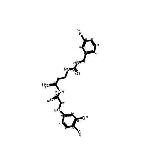 C=C(CCNC(=O)NCc1cccc(F)c1)NC(=O)COc1ccc(Cl)c(Cl)c1